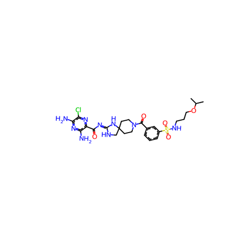 CC(C)OCCCNS(=O)(=O)c1cccc(C(=O)N2CCC3(CC2)CN/C(=N\C(=O)c2nc(Cl)c(N)nc2N)N3)c1